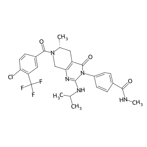 CNC(=O)c1ccc(-n2c(NC(C)C)nc3c(c2=O)C[C@@H](C)N(C(=O)c2ccc(Cl)c(C(F)(F)F)c2)C3)cc1